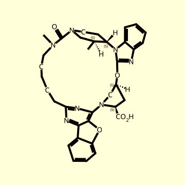 C[C@H]1CN2CC[C@@H]1n1c(nc3ccccc31)O[C@H]1C[C@@H](C(=O)O)N(C1)c1nc(nc3c1oc1ccccc13)CCCCCN(C)C2=O